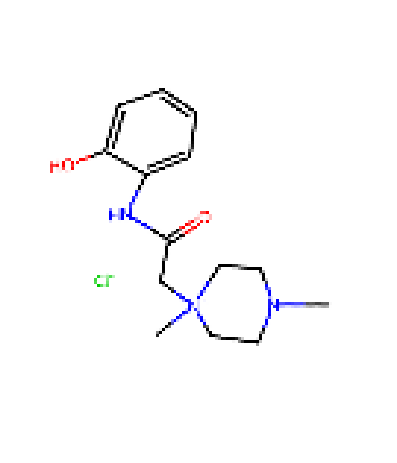 CN1CC[N+](C)(CC(=O)Nc2ccccc2O)CC1.[Cl-]